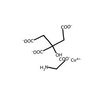 NCC(=O)[O-].O=C([O-])CC(O)(CC(=O)[O-])C(=O)[O-].[Cu+4]